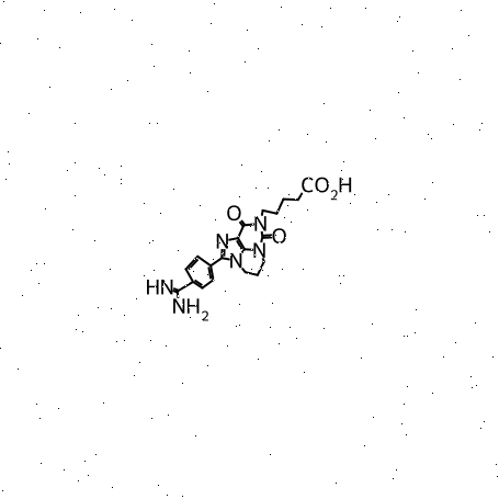 N=C(N)c1ccc(-c2nc3c(=O)n(CCCCC(=O)O)c(=O)n4c3n2CCC4)cc1